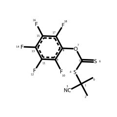 CC(C)(C#N)SC(=S)Oc1c(F)c(F)c(F)c(F)c1F